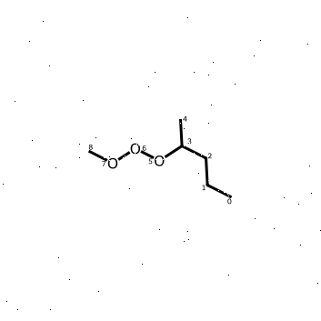 CCCC(C)OOOC